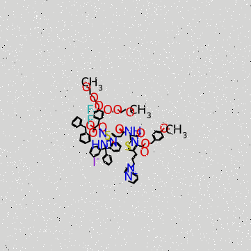 COCCOCOc1cc(C(ON=S2C=C(CC(=O)N[C@@H]3C(=O)N4C(C(=O)OCc5ccc(OC)cc5)=C(C=CCn5cc[n+]6ccccc56)CSC34)N=C2NC(c2ccccc2)(c2ccccc2)c2ccccc2)C(=O)OC(c2ccccc2)c2ccccc2)c(F)c(F)c1OCOCCOC.[I-]